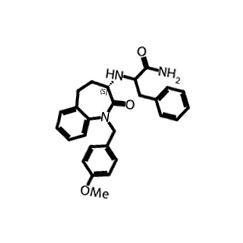 COc1ccc(CN2C(=O)[C@@H](NC(Cc3ccccc3)C(N)=O)CCc3ccccc32)cc1